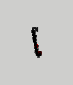 N#CCCCCCCCCCOCCCC1CCCO1